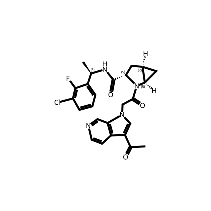 CC(=O)c1cn(CC(=O)N2[C@@H]3C[C@@H]3C[C@H]2C(=O)N[C@H](C)c2cccc(Cl)c2F)c2cnccc12